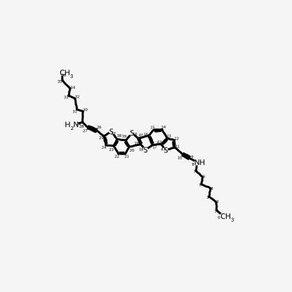 CCCCCCCCNC#Cc1cc2ccc3c(sc4c5ccc6cc(C#CC(N)CCCCCCC)sc6c5sc34)c2s1